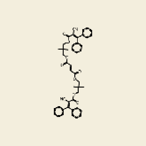 CC(C)(COC(=O)/C=C/C(=O)OCC(C)(C)COC(=O)C(C#N)=C(c1ccccc1)c1ccccc1)COC(=O)C(C#N)=C(c1ccccc1)c1ccccc1